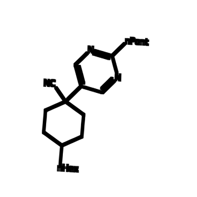 CCCCCCC1CCC(C#N)(c2cnc(CCCCC)nc2)CC1